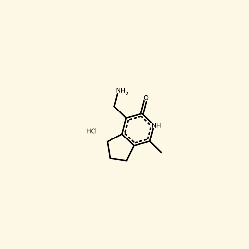 Cc1[nH]c(=O)c(CN)c2c1CCC2.Cl